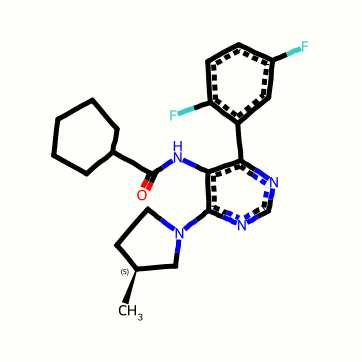 C[C@H]1CCN(c2ncnc(-c3cc(F)ccc3F)c2NC(=O)C2CCCCC2)C1